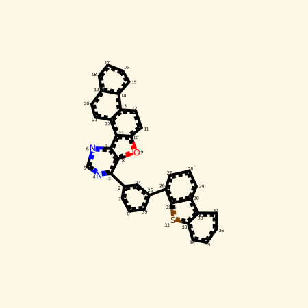 c1cc(-c2ncnc3c2oc2ccc4c5ccccc5ccc4c23)cc(-c2cccc3c2sc2ccccc23)c1